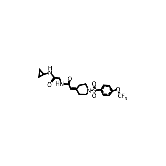 O=C(C=C1CCN(S(=O)(=O)c2ccc(OC(F)(F)F)cc2)CC1)NCC(=O)NC1CC1